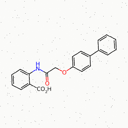 O=C(COc1ccc(-c2ccccc2)cc1)Nc1ccccc1C(=O)O